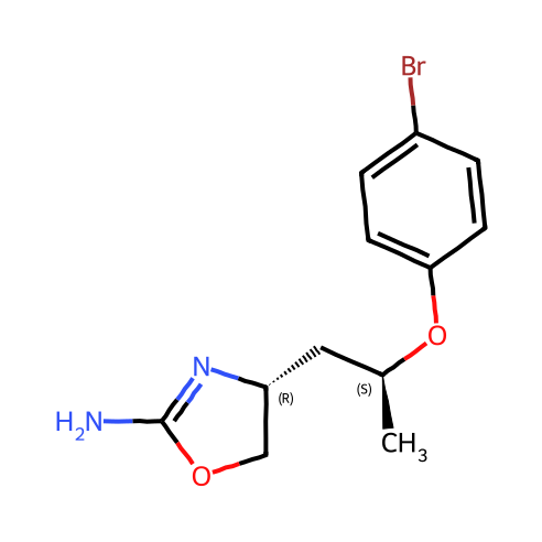 C[C@@H](C[C@@H]1COC(N)=N1)Oc1ccc(Br)cc1